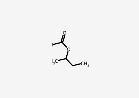 CCC(C)OC(=O)I